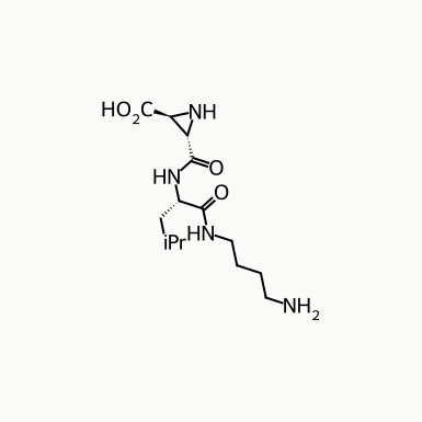 CC(C)C[C@H](NC(=O)[C@H]1N[C@@H]1C(=O)O)C(=O)NCCCCN